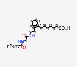 CCCCCC(=O)NCC(=O)NCCC1C2CCC(C2)C1CCCCCCC(=O)O